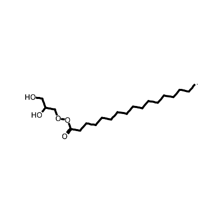 [CH2]CCCCCCCCCCCCCCCC(=O)OOCC(O)CO